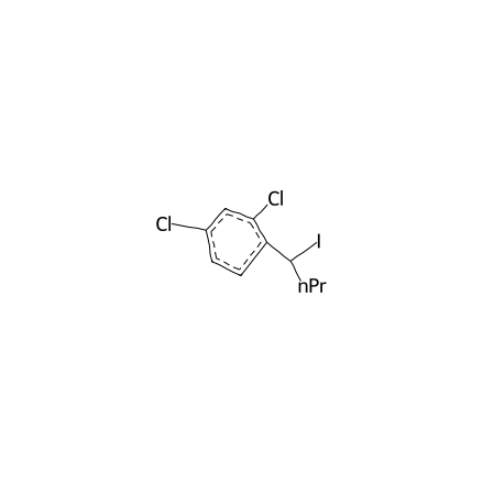 CCCC(I)c1ccc(Cl)cc1Cl